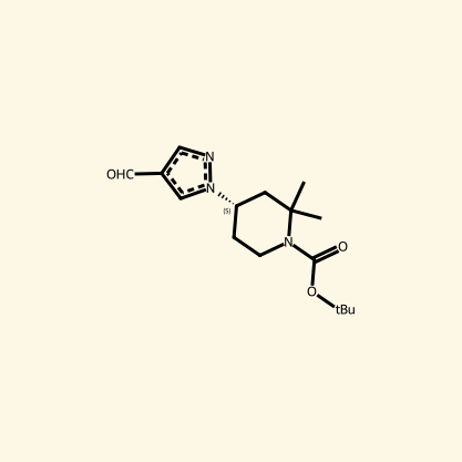 CC(C)(C)OC(=O)N1CC[C@H](n2cc(C=O)cn2)CC1(C)C